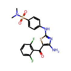 CN(C)S(=O)(=O)c1ccc(Nc2nc(N)c(C(=O)c3c(F)cccc3F)s2)cc1